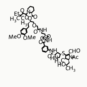 CCC(C)(C)C(=O)C(=O)N1CCCC[C@H]1C(=O)O[C@H](CCc1ccc(OC)c(OC)c1)COCC(=O)NCCS(=O)(=O)NC(=O)c1cccc(NC(=O)[C@@H]2C[C@H](SC3=C(C=O)N(C(C)=O)[C@@H](C[C@@H](C)O)[C@H]3C)CN2)c1